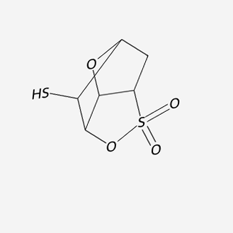 O=S1(=O)OC2C(S)C3CC1C2O3